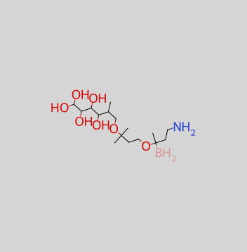 BC(C)(CCN)OCCC(C)(C)OCC(C)C(O)C(O)C(O)C(O)O